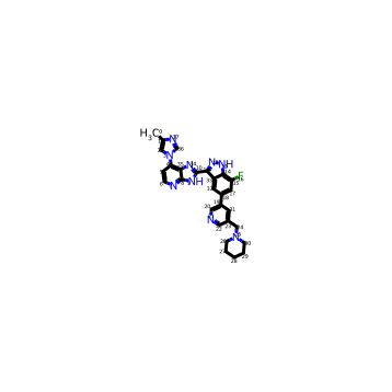 Cc1cn(-c2ccnc3[nH]c(-c4n[nH]c5c(F)cc(-c6cncc(CN7CCCCC7)c6)cc45)nc23)cn1